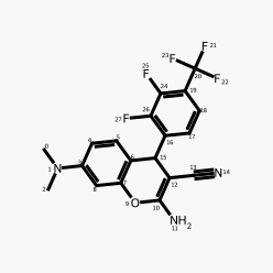 CN(C)c1ccc2c(c1)OC(N)=C(C#N)C2c1ccc(C(F)(F)F)c(F)c1F